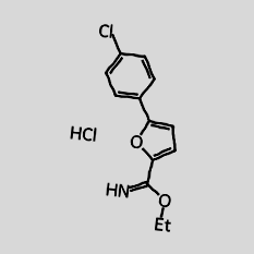 CCOC(=N)c1ccc(-c2ccc(Cl)cc2)o1.Cl